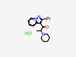 CC(C)c1nn2ccccc2c1C(=O)C(C)N1CCCCC1.Cl